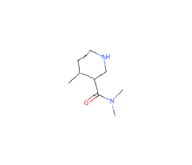 CC1CCNCC1C(=O)N(C)C